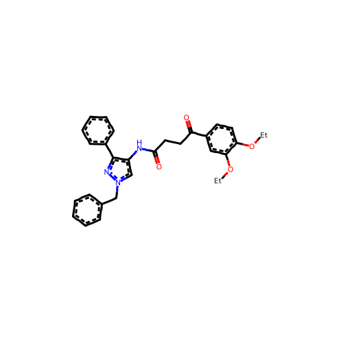 CCOc1ccc(C(=O)CCC(=O)Nc2cn(Cc3ccccc3)nc2-c2ccccc2)cc1OCC